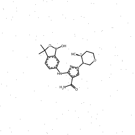 CC1(C)OB(O)c2cc(Nc3nn(C4COCC[C@@H]4C#N)cc3C(N)=O)ccc21